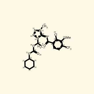 CSc1c(C(F)(F)F)ccc(C(=O)/N=c2/n(C)nnn2C(C)OC(=O)OC2CCCCC2)c1Cl